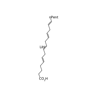 CCCCCC=CCC=CCC=CCC=CCCCC(=O)O.[LiH]